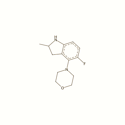 CC1Cc2c(ccc(F)c2N2CCOCC2)N1